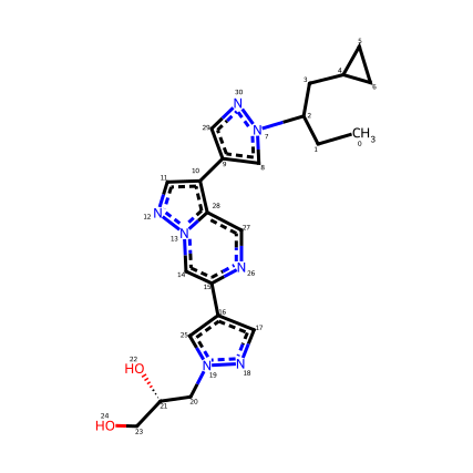 CCC(CC1CC1)n1cc(-c2cnn3cc(-c4cnn(C[C@@H](O)CO)c4)ncc23)cn1